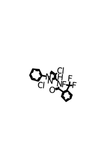 O=C(Nc1nn(-c2ccccc2Cl)cc1Cl)c1ccccc1C(F)(F)F